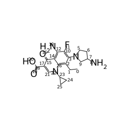 CCc1c(N2CCC(N)C2)c(F)c(N)c2c(=O)c(C(=O)O)cn(C3CC3)c12